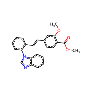 COC(=O)c1ccc(C=Cc2ccccc2-n2cnc3ccccc32)cc1OC